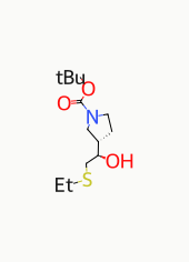 CCSC[C@H](O)[C@H]1CCN(C(=O)OC(C)(C)C)C1